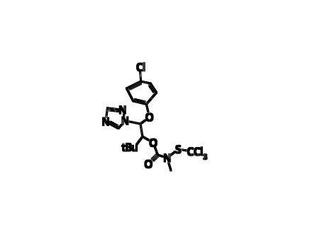 CN(SC(Cl)(Cl)Cl)C(=O)OC(C(Oc1ccc(Cl)cc1)n1cncn1)C(C)(C)C